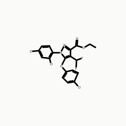 CCOC(=O)c1nn(-c2ccc(Cl)cc2Cl)c(Oc2ccc(Cl)cc2)c1C(F)F